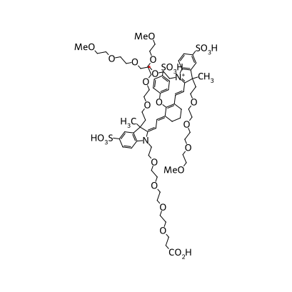 COCCOCCOCCOCC[N+]1=C(/C=C/C2=C(Oc3ccc(S(=O)(=O)O)cc3)C(=C/C=C3/N(CCOCCOCCOCCOCCC(=O)O)c4ccc(S(=O)(=O)O)cc4C3(C)CCOCCOCCOCCOC)/CCC2)C(C)(CCOCCOCCOCCOC)c2cc(S(=O)(=O)O)ccc21